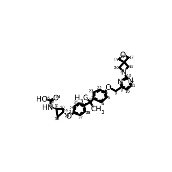 CC(C)(c1ccc(OCc2ccnc(N3CC4(COC4)C3)n2)cc1)c1ccc(O[C@H]2C[C@H](NC(=O)O)C2)cc1